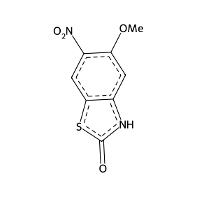 COc1cc2[nH]c(=O)sc2cc1[N+](=O)[O-]